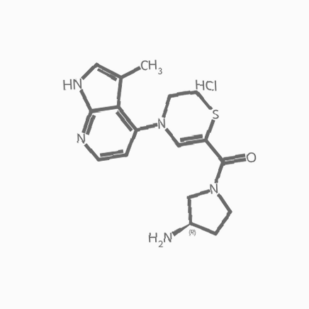 Cc1c[nH]c2nccc(N3C=C(C(=O)N4CC[C@@H](N)C4)SCC3)c12.Cl